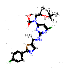 C[C@H](Nc1nc(Cl)cc(N2C(=O)OC[C@@H]2[C@@H](C)OC(C)(C)C)n1)c1cnc(-c2ccc(Cl)cc2)s1